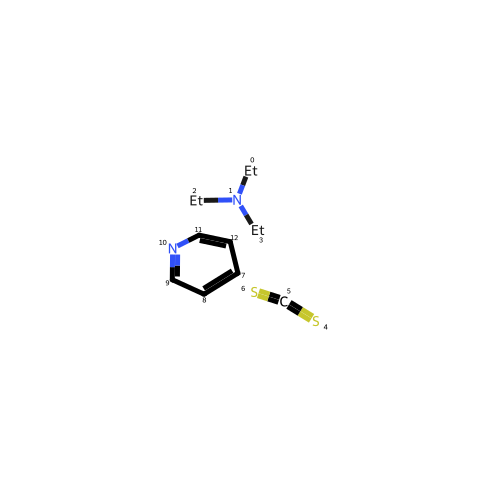 CCN(CC)CC.S=C=S.c1ccncc1